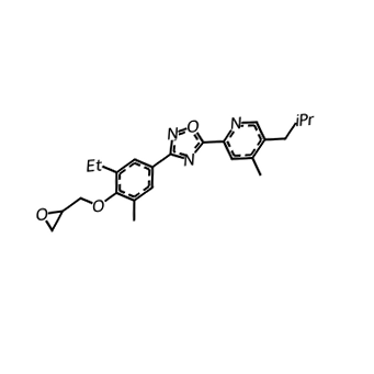 CCc1cc(-c2noc(-c3cc(C)c(CC(C)C)cn3)n2)cc(C)c1OCC1CO1